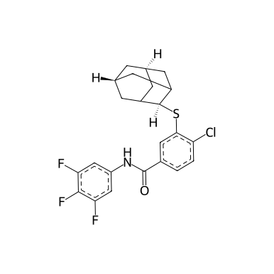 O=C(Nc1cc(F)c(F)c(F)c1)c1ccc(Cl)c(S[C@H]2C3C[C@@H]4CC2C[C@H](C3)C4)c1